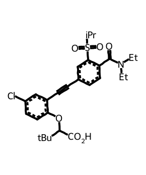 CCN(CC)C(=O)c1ccc(C#Cc2cc(Cl)ccc2OC(C(=O)O)C(C)(C)C)cc1S(=O)(=O)C(C)C